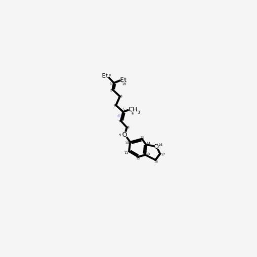 CCC(=CCC/C(C)=C/COc1ccc2c(c1)OCC2)CC